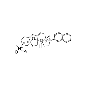 CC(C)[N+](C)([O-])[C@@H]1CCC2=CC3=CC[C@]4(C)[C@@H](c5ccc6ccccc6c5)CC[C@H]4C34CC[C@]2(C1)O4